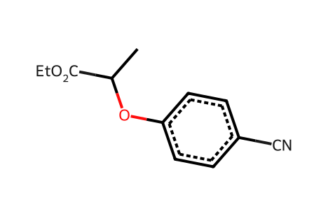 CCOC(=O)C(C)Oc1ccc(C#N)cc1